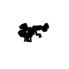 CN1C(=O)C(N)(CCOc2ccc([N+](=O)[O-])cc2)N=C(c2ccccc2)c2ccccc21.Cl